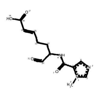 Cn1cncc1C(=O)NC(C=O)CCC=CC(=O)O